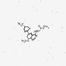 COC(=O)CNc1ncnc2c(OC)cc(-c3ncc(C)cn3)cc12